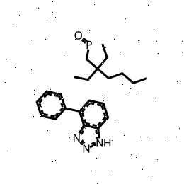 CCCCC(CC)(CC)CP=O.c1ccc(-c2cccc3[nH]nnc23)cc1